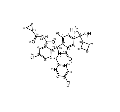 CC(O)(c1cc(F)c2c(c1)C(=O)N(Cc1ncc(Cl)cn1)[C@@]2(OCNC(=O)C1CC1)c1ccc(Cl)cc1)C1CCC1